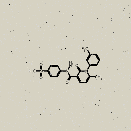 Cc1ccc(C(=O)N(N)c2ccc(S(C)(=O)=O)cc2)c(=O)n1-c1cccc(C(F)(F)F)c1